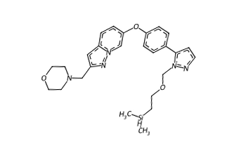 C[SiH](C)CCOCn1nccc1-c1ccc(Oc2ccc3cc(CN4CCOCC4)nn3c2)cc1